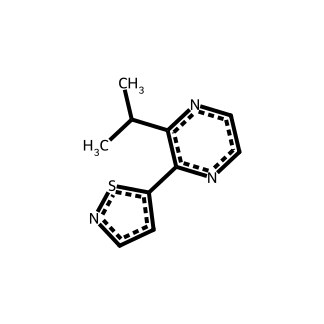 CC(C)c1nccnc1-c1ccns1